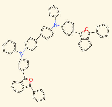 c1ccc(-c2oc(-c3ccc(N(c4ccccc4)c4ccc(-c5ccc(N(c6ccccc6)c6ccc(-c7oc(-c8ccccc8)c8ccccc78)cc6)cc5)cc4)cc3)c3ccccc23)cc1